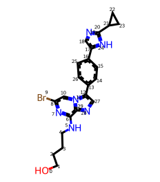 OCCCCNc1nc(Br)cn2c(-c3ccc(-c4cnc(C5CC5)[nH]4)cc3)cnc12